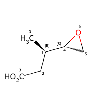 C[C@H](CC(=O)O)[C@H]1CO1